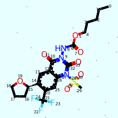 CCCCCOC(=O)Nn1c(=O)c2cc([C@H]3CCCO3)c(C(F)(F)F)cc2n(S(C)(=O)=O)c1=O